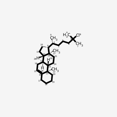 C[C@H](CCCC(C)(C)Cl)[C@H]1CC[C@H]2[C@@H]3CC=C4CCCC[C@]4(C)[C@H]3CC[C@]12C